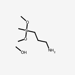 CO.CO[Si](C)(CCCN)OC